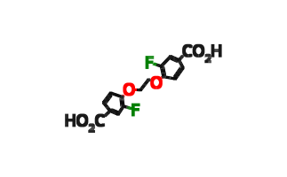 O=C(O)c1ccc(OCCOc2ccc(C(=O)O)cc2F)c(F)c1